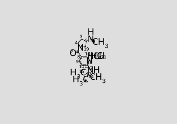 CN[C@H]1CCN(C(=O)c2ccc(NC(C)(C)C)nc2)C1.Cl.Cl